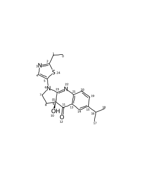 CCc1ncc(N2CC[C@@]3(O)C(=O)c4cc(C(C)C)ccc4N=C23)s1